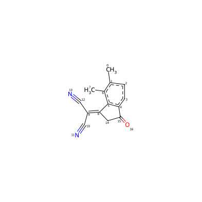 Cc1ccc2c(c1C)C(=C(C#N)C#N)CC2=O